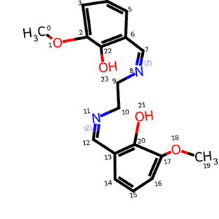 COc1cccc(/C=N\CC/N=C\c2cccc(OC)c2O)c1O